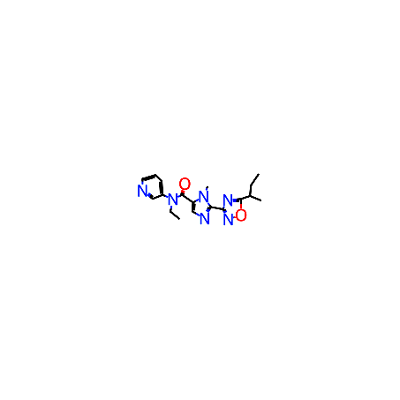 CCC(C)c1nc(-c2ncc(C(=O)N(CC)c3cccnc3)n2C)no1